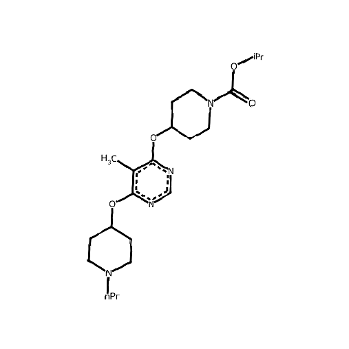 CCCN1CCC(Oc2ncnc(OC3CCN(C(=O)OC(C)C)CC3)c2C)CC1